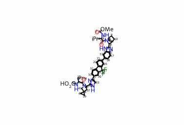 COC(=O)NC(C(=O)N1C2CCC(C2)[C@H]1c1nc2ccc(-c3ccc4c(c3)C(F)(F)c3cc(-c5c[nH]c(C6CC7(CC7)CN6C(=O)C(NC(=O)O)C(C)C)n5)ccc3-4)cc2[nH]1)C(C)C